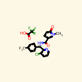 Cn1cc(C(=O)N[C@@H](c2ccc(C(F)(F)F)cc2)c2ncccc2Cl)ccc1=O.O=C(O)C(F)(F)F